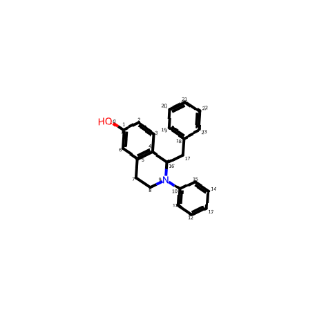 Oc1ccc2c(c1)CCN(c1ccccc1)C2Cc1ccccc1